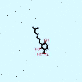 CC(C)CCCCCc1c(O)ccc(C(=O)O)c1O